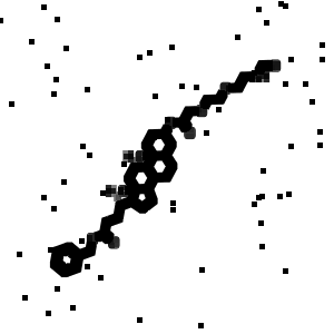 CC12CCC3C(CCC4CC(OC(=O)COCCOCCNC=O)CCC43C)C1CCC2CCCC(=O)OCc1ccccc1